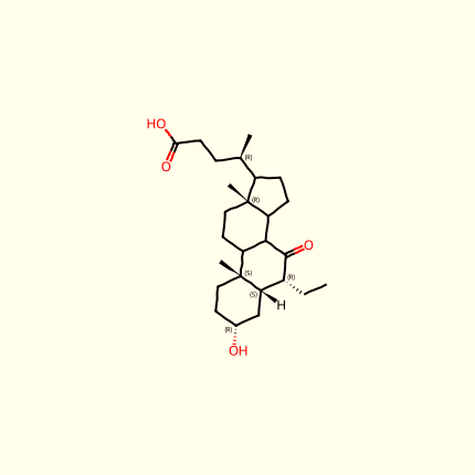 CC[C@H]1C(=O)C2C3CCC([C@H](C)CCC(=O)O)[C@@]3(C)CCC2[C@@]2(C)CC[C@@H](O)C[C@@H]12